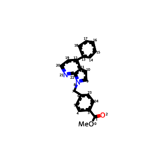 COC(=O)c1ccc(Cn2ccc3c(-c4ccccc4)ccnc32)cc1